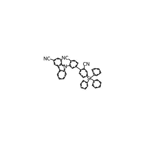 N#Cc1ccc2c(c1)c1ccccc1n2-c1cc(-c2ccc([Si](c3ccccc3)(c3ccccc3)c3ccccc3)cc2C#N)ccc1C#N